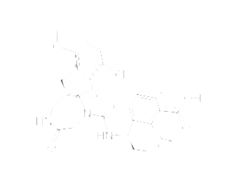 CC[C@@H](NC(=O)N1CC(=O)NC[C@@H](Cc2cc(Cl)ccc2OC)C1=O)c1cccc(C(=O)O)c1OC